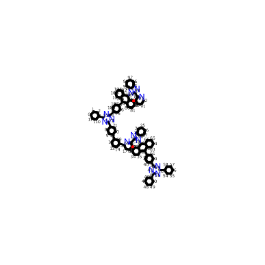 c1ccc(-c2nc(-c3ccc(-c4cccc(-c5cccc(-c6nc7ccccc7n6-c6c7ccccc7c(-c7ccc(-c8nc(-c9ccccc9)nc(-c9ccccc9)n8)cc7)c7ccccc67)n5)c4)cc3)nc(-c3ccc(-c4c5ccccc5c(-n5c(-c6ccccn6)nc6ccccc65)c5ccccc45)cc3)n2)cc1